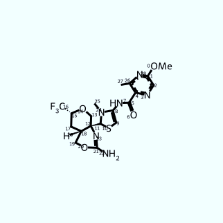 COc1cnc(C(=O)NC2=CSC([C@]34CO[C@@H](C(F)(F)F)C[C@H]3COC(N)=N4)N2C)c(C)n1